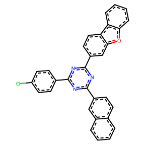 Clc1ccc(-c2nc(-c3ccc4ccccc4c3)nc(-c3ccc4c(c3)oc3ccccc34)n2)cc1